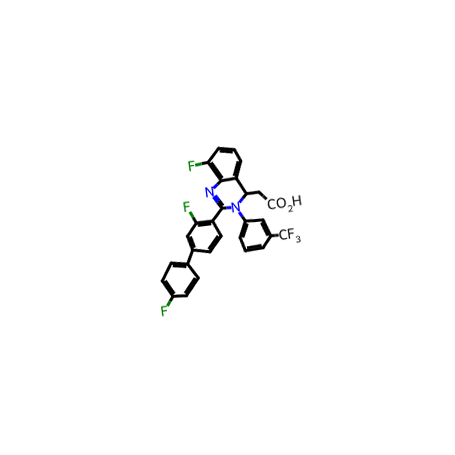 O=C(O)CC1c2cccc(F)c2N=C(c2ccc(-c3ccc(F)cc3)cc2F)N1c1cccc(C(F)(F)F)c1